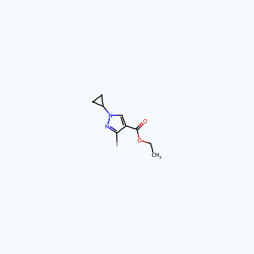 CCOC(=O)c1cn(C2CC2)nc1I